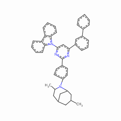 CC1CC2CC(C)N(c3ccc(-c4nc(-c5cccc(-c6ccccc6)c5)cc(-n5c6ccccc6c6ccccc65)n4)cc3)C(C1)C2